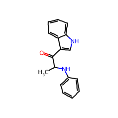 CC(Nc1ccccc1)C(=O)c1c[nH]c2ccccc12